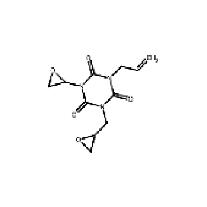 C=CCn1c(=O)n(CC2CO2)c(=O)n(C2CO2)c1=O